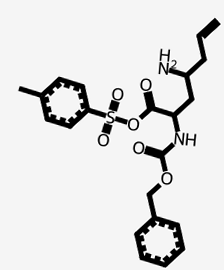 C=CCC(N)CC(NC(=O)OCc1ccccc1)C(=O)OS(=O)(=O)c1ccc(C)cc1